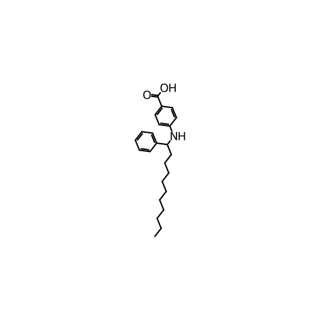 CCCCCCCCCCC(Nc1ccc(C(=O)O)cc1)c1ccccc1